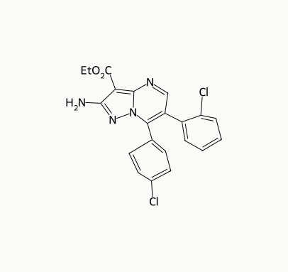 CCOC(=O)c1c(N)nn2c(-c3ccc(Cl)cc3)c(-c3ccccc3Cl)cnc12